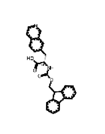 O=C(N[C@@H](Cc1ccc2ccncc2c1)C(=O)O)OCC1c2ccccc2-c2ccccc21